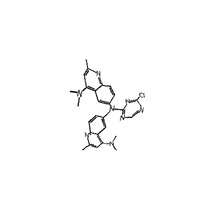 Cc1cc(N(C)C)c2cc(N(c3ccc4nc(C)cc(N(C)C)c4c3)c3ncnc(Cl)n3)ccc2n1